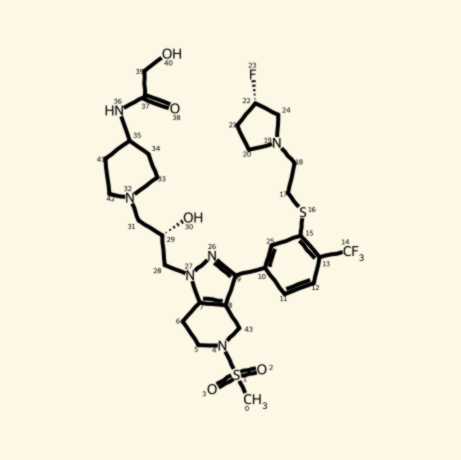 CS(=O)(=O)N1CCc2c(c(-c3ccc(C(F)(F)F)c(SCCN4CC[C@H](F)C4)c3)nn2C[C@@H](O)CN2CCC(NC(=O)CO)CC2)C1